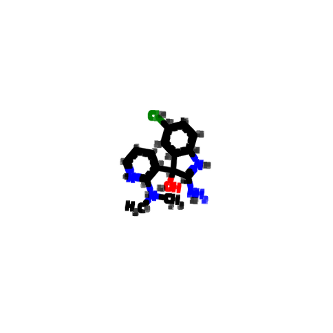 CN(C)c1ncccc1C1(O)C(N)=Nc2ccc(Cl)cc21